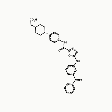 O=C(O)C[C@H]1CC[C@H](c2ccc(NC(=O)c3nnc(Nc4cccc(C(=O)c5ccccc5)c4)o3)cc2)CC1